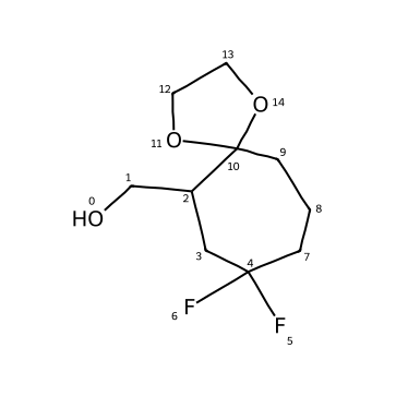 OCC1CC(F)(F)CCCC12OCCO2